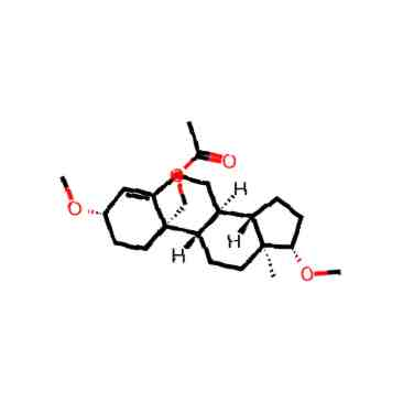 CO[C@@H]1C=C2CC[C@@H]3[C@H](CC[C@]4(C)[C@@H](OC)CC[C@@H]34)[C@@]2(COC(C)=O)CC1